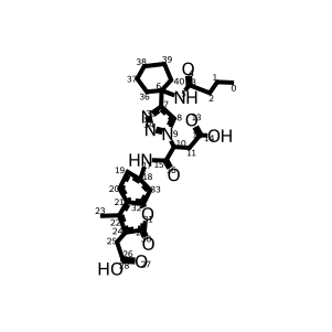 CCCC(=O)NC1(c2cn(C(CC(=O)O)C(=O)Nc3ccc4c(C)c(CC(=O)O)c(=O)oc4c3)nn2)CCCCC1